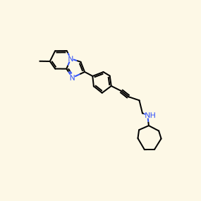 Cc1ccn2cc(-c3ccc(C#CCCNC4CCCCCC4)cc3)nc2c1